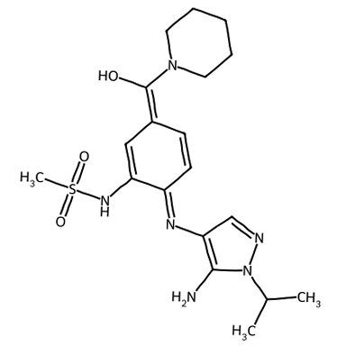 CC(C)n1ncc(N=C2C=CC(=C(O)N3CCCCC3)C=C2NS(C)(=O)=O)c1N